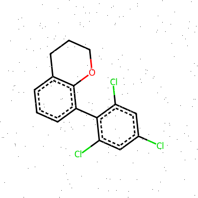 Clc1cc(Cl)c(-c2cccc3c2OCCC3)c(Cl)c1